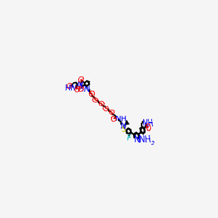 Nc1ncc(-c2ccc(SN(CCCNC(=O)CCOCCOCCOCCOCCOCCNc3cccc4c3C(=O)N(C3CCC(=O)NC3=O)C4=O)C3CC3)cc2F)cc1-c1ccc2c(c1)CCNC2=O